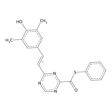 Cc1cc(/C=C/c2ncnc(C(=O)Sc3ccccc3)n2)cc(C)c1O